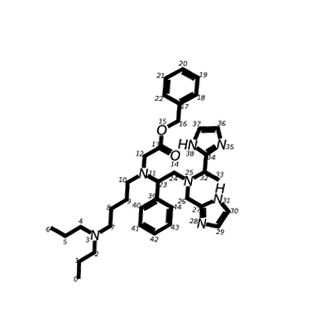 CCCN(CCC)CCCCN(CC(=O)OCc1ccccc1)C(CN(Cc1ncc[nH]1)C(C)c1ncc[nH]1)c1ccccc1